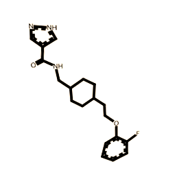 O=C(NCC1CCC(CCOc2ccccc2F)CC1)c1cn[nH]c1